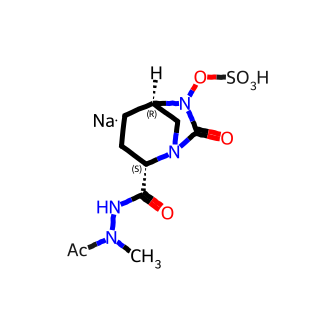 CC(=O)N(C)NC(=O)[C@@H]1CC[C@@H]2CN1C(=O)N2OS(=O)(=O)O.[Na]